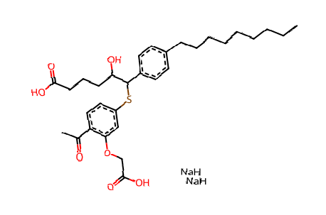 CCCCCCCCCc1ccc(C(Sc2ccc(C(C)=O)c(OCC(=O)O)c2)C(O)CCCC(=O)O)cc1.[NaH].[NaH]